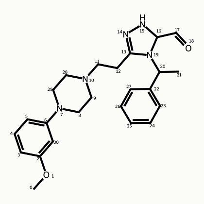 COc1cccc(N2CCN(CCC3=NNC(C=O)N3C(C)c3ccccc3)CC2)c1